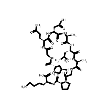 CC(C)C[C@H](NC(=O)[C@H](C)NC(=O)[C@H](CC(=O)O)NC(=O)[C@H](CCC(N)=O)NC(=O)CNC(=O)[C@@H]1C[C@@H](O)CN1)C(=O)N[C@@H](C)C(=O)NCC(=O)N1CCC[C@H]1C(=O)N[C@@H](CCCCN)C(=O)O